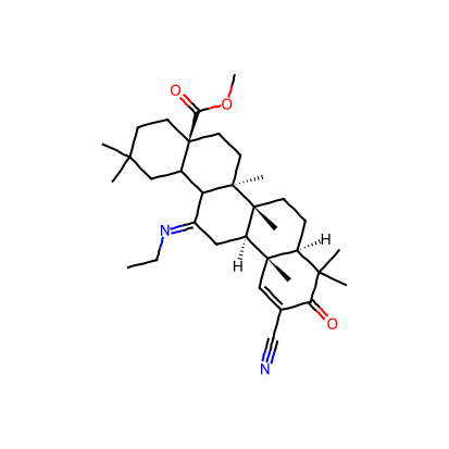 CC/N=C1\C[C@@H]2[C@@]3(C)C=C(C#N)C(=O)C(C)(C)[C@@H]3CC[C@@]2(C)[C@]2(C)CC[C@@]3(C(=O)OC)CCC(C)(C)CC3C12